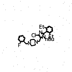 CCCCn1c(-c2c(CC)cccc2CC)nc(Cl)c1CN1CCN(Cc2ccccc2F)CC1